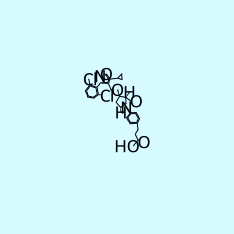 O=C(O)CCc1ccc(N2C(=O)[C@@H]3C[C@H]2C[C@H]3OCc2c(-c3c(Cl)cccc3Cl)noc2C2CC2)cc1